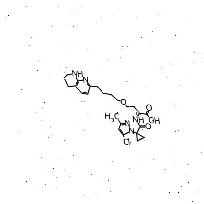 Cc1cc(Cl)n(C2(C(=O)N[C@@H](CCOCCCCc3ccc4c(n3)NCCC4)C(=O)O)CC2)n1